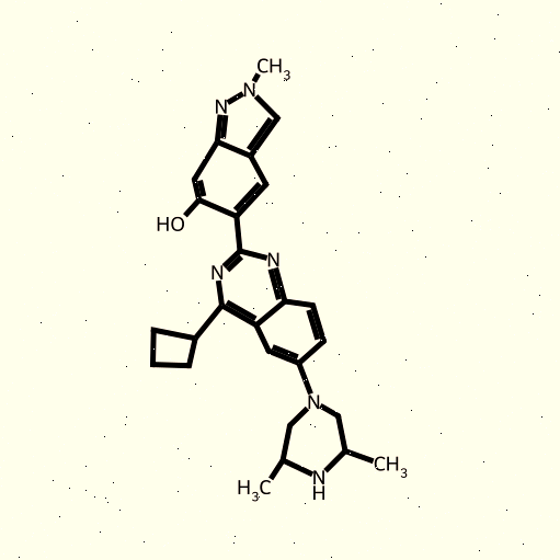 CC1CN(c2ccc3nc(-c4cc5cn(C)nc5cc4O)nc(C4CCC4)c3c2)CC(C)N1